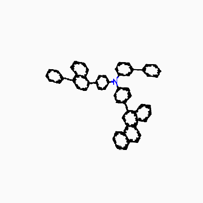 c1ccc(-c2cccc(N(c3ccc(-c4ccc(-c5ccccc5)c5ccccc45)cc3)c3ccc(-c4cc5c6ccccc6ccc5c5ccccc45)cc3)c2)cc1